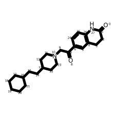 O=C1CCc2cc(C(=O)CN3CCC(CCC4CCCCC4)CC3)ccc2N1